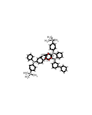 C[Si](C)(C)c1ccc(N(c2ccccc2)c2ccc3c(c2)sc2ccc(N(c4cccc(-c5ccccc5)c4)c4ccccc4N(c4ccccc4)c4ccc([Si](C)(C)C)cc4)cc23)cc1